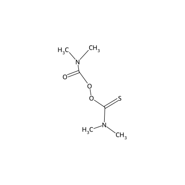 CN(C)C(=O)OOC(=S)N(C)C